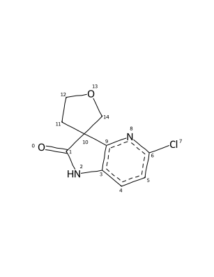 O=C1Nc2ccc(Cl)nc2C12CCOC2